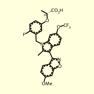 COc1ccc2c(-c3c(C)n(Cc4cc(O[C@H](C)C(=O)O)ccc4F)c4cc(OC(F)(F)F)ccc34)noc2c1